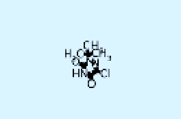 CC(C)(C)n1nc(Cl)c(=O)[nH]c1=O